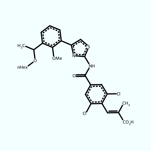 CCCCCCOC(C)c1cccc(-c2csc(NC(=O)c3cc(Cl)c(C=C(C)C(=O)O)c(Cl)c3)n2)c1OC